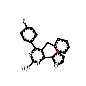 Nc1nc(-c2ccc(F)cc2)c(Cc2ccccc2)c(-c2ccco2)n1